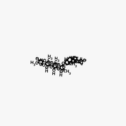 CC1O[C@@H](O[C@H]2C(O)C(C)OC(O[C@H]3C(O)C(C)OC(O[C@H]4C(O)C(C)OC(O[C@H]5CCC6(C)C7CCC8(C)[C@@H](C9=CC(=O)OC9)CC[C@]8(O)[C@@H]7CC[C@H]6C5)[C@H]4O)[C@H]3O)[C@H]2O)C=CC1=O